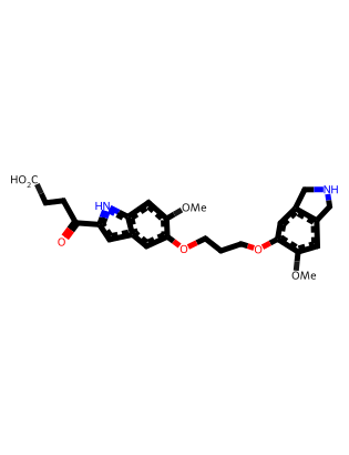 COc1cc2c(cc1OCCCOc1cc3cc(C(=O)CCC(=O)O)[nH]c3cc1OC)CNC2